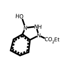 CCOC(=O)N1NN(O)c2ccccc21